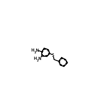 Nc1ccc(SCc2ccccc2)cc1N